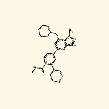 CNC(=O)c1ccc(-c2cc(OC3CCOCC3)c3c(N)n[nH]c3c2)cc1N1CCNCC1